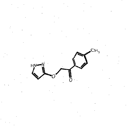 Cc1ccc(C(=O)COc2cc[nH]n2)cc1